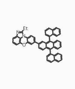 CCc1nc2cccc3c2n1-c1ccc(-c2ccc4c(-c5cccc6ccccc56)c5ccccc5c(-c5cccc6ccccc56)c4c2)cc1O3